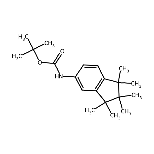 CC(C)(C)OC(=O)Nc1ccc2c(c1)C(C)(C)C(C)(C)C2(C)C